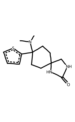 CN(C)C1(c2cccs2)CCC2(CC1)CNC(=O)N2